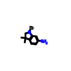 C[CH]N1CC(C)(C)c2ccc(N)cc21